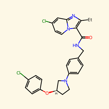 CCc1nc2cc(Cl)ccn2c1C(=O)NCc1ccc(N2CC[C@@H](Oc3ccc(Cl)cc3)C2)cc1